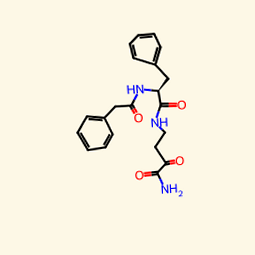 NC(=O)C(=O)CCNC(=O)[C@H](Cc1ccccc1)NC(=O)Cc1ccccc1